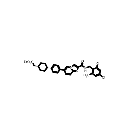 CCOC(=O)C[C@H]1CC[C@H](c2ccc(-c3ccc4nc(C(=O)NCc5c(C)cc(Cl)cc5Cl)cn4c3)cc2)CC1